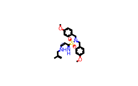 C=C(C)CN/C=C\C(=N)S(=O)(=O)N(Cc1ccc(OC)cc1)Cc1ccc(OC)cc1